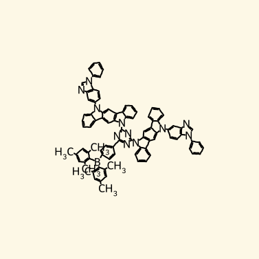 Cc1cc(C)c(B(c2ccc(-c3nc(-n4c5ccccc5c5cc6c(cc54)c4ccccc4n6-c4ccc5c(c4)ncn5-c4ccccc4)nc(-n4c5ccccc5c5cc6c(cc54)c4ccccc4n6-c4ccc5c(c4)ncn5-c4ccccc4)n3)cc2)c2c(C)cc(C)cc2C)c(C)c1